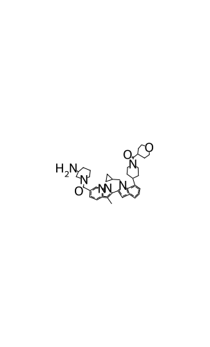 Cc1c(-c2cc3cccc(C4CCN(C(=O)C5CCOCC5)CC4)c3n2CC2CC2)nn2cc(C(=O)N3CCCC(N)C3)ccc12